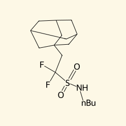 CCCCNS(=O)(=O)C(F)(F)CC12CC3CC(CC(C3)C1)C2